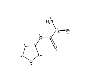 CC(C)[C@H](N)C(=O)OC1CCOC1